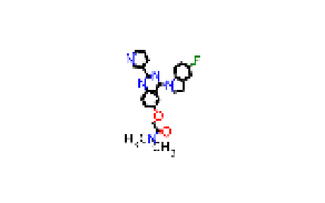 CN(C)C(=O)COc1ccc2nc(-c3cccnc3)nc(N3CCc4cc(F)ccc43)c2c1